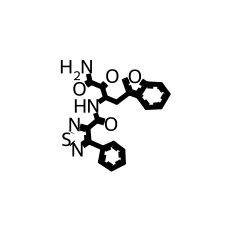 NC(=O)C(=O)C(Cc1coc2ccccc12)NC(=O)c1nsnc1-c1ccccc1